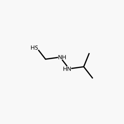 CC(C)NNCS